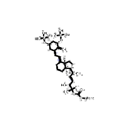 C=C1/C(=C\C=C2/CCC[C@]3(C)[C@@H]([C@H](C)/C=C/[C@@H](O)C(C)(C)OC(=O)OCCCCC)CC[C@@H]23)C[C@@H](O[Si](C)(C)C(C)(C)C)C[C@@H]1O[Si](C)(C)C(C)(C)C